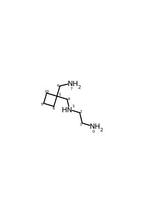 NCCNCC1(CN)CCC1